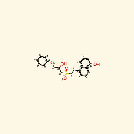 O=S(=O)(CCc1cccc2c(O)cccc12)CC(O)COc1ccccc1